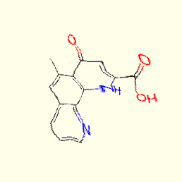 Cc1cc2cccnc2c2[nH]c(C(=O)O)cc(=O)c12